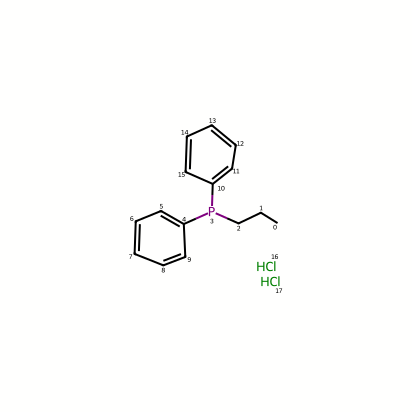 CCCP(c1ccccc1)c1ccccc1.Cl.Cl